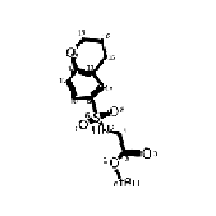 CC(C)(C)OC(=O)CNS(=O)(=O)c1ccc2c(c1)CCCO2